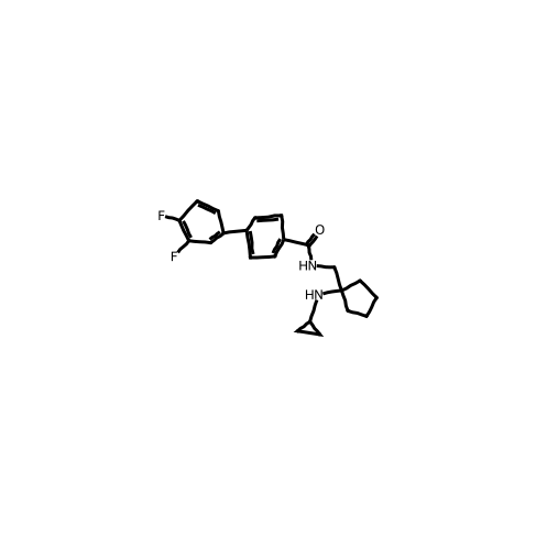 O=C(NCC1(NC2CC2)CCCC1)c1ccc(-c2ccc(F)c(F)c2)cc1